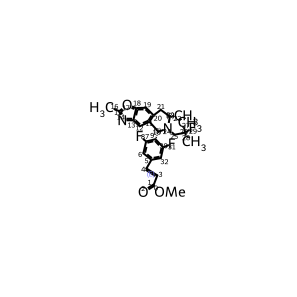 COC(=O)/C=C/c1cc(F)c([C@@H]2c3cc4nc(C)oc4cc3C[C@@H](C)N2CC(C)(C)F)c(F)c1